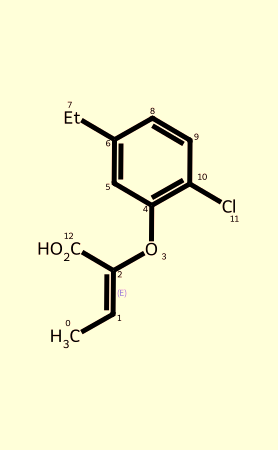 C/C=C(/Oc1cc(CC)ccc1Cl)C(=O)O